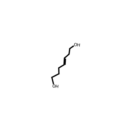 OCCC=CCCCO